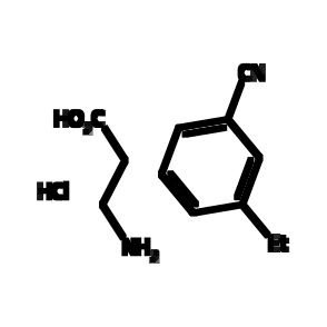 CCc1cccc(C#N)c1.Cl.NCCC(=O)O